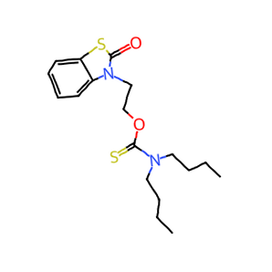 CCCCN(CCCC)C(=S)OCCn1c(=O)sc2ccccc21